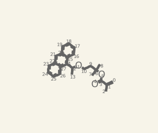 C=C(C)C(=O)OC(C)(C)CCOC(C)c1c2ccccc2cc2ccccc12